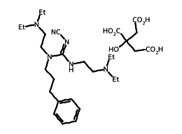 CCN(CC)CCN/C(=N/C#N)N(CCCc1ccccc1)CCN(CC)CC.O=C(O)CC(O)(CC(=O)O)C(=O)O